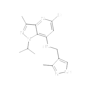 Cc1n[nH]cc1CNc1cc(Br)nc2c(C)nn(C(C)C)c12